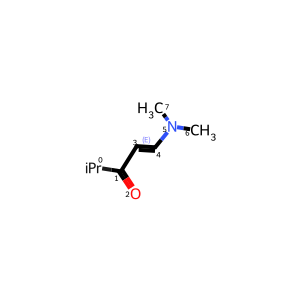 CC(C)C(=O)/C=C/N(C)C